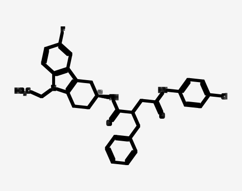 O=C(O)Cn1c2c(c3cc(F)ccc31)C[C@@H](NC(=O)C(CC(=O)Nc1ccc(Cl)cc1)Cc1ccccc1)CC2